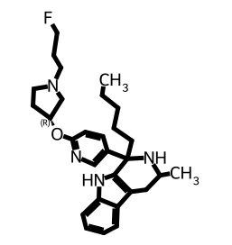 CCCCCC1(c2ccc(O[C@@H]3CCN(CCCF)C3)nc2)NC(C)Cc2c1[nH]c1ccccc21